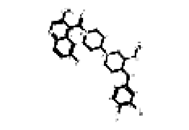 Cc1cnc2ccc(F)cc2c1C(=O)N1CCC(N2CCC(Cc3ccc(Cl)c(Cl)c3)[C@H](CO)C2)CC1